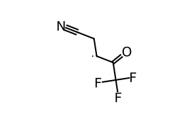 N#CC[CH]C(=O)C(F)(F)F